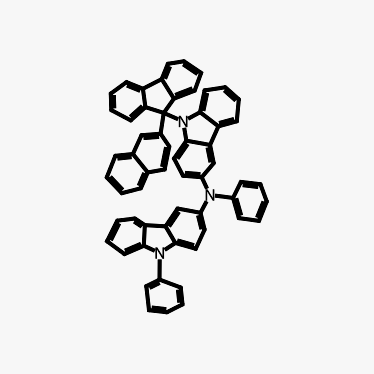 c1ccc(N(c2ccc3c(c2)c2ccccc2n3-c2ccccc2)c2ccc3c(c2)c2ccccc2n3C2(c3ccc4ccccc4c3)c3ccccc3-c3ccccc32)cc1